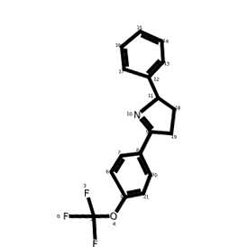 FC(F)(F)Oc1ccc(C2=NC(c3ccccc3)CC2)cc1